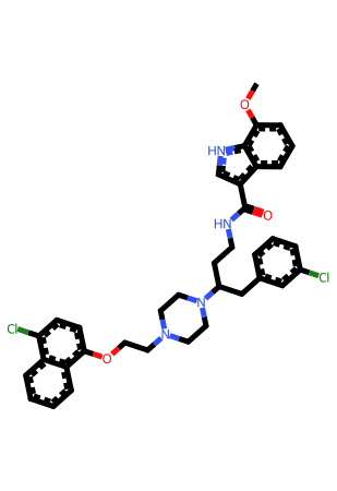 COc1cccc2c(C(=O)NCCC(Cc3cccc(Cl)c3)N3CCN(CCOc4ccc(Cl)c5ccccc45)CC3)c[nH]c12